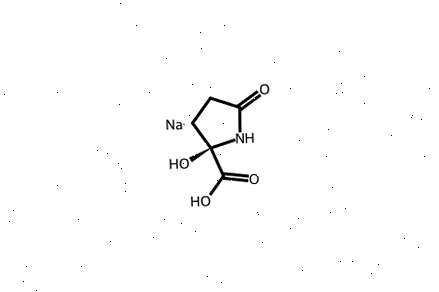 O=C1CC[C@@](O)(C(=O)O)N1.[Na]